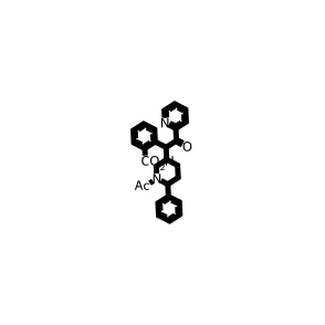 CC(=O)N1CC(C(C(=O)c2ccccn2)c2ccccc2C(=O)O)CCC1c1ccccc1